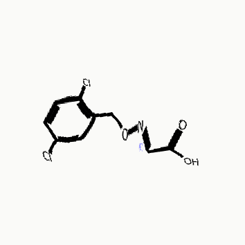 O=C(O)/C=N/OCc1cc(Cl)ccc1Cl